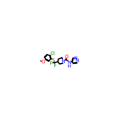 COc1ccc(Cl)c(SC(F)(F)C2CCN(C(=O)Nc3ccnnc3)CC2)c1